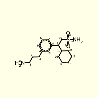 NCCCc1cccc(C(CS(N)(=O)=O)C2CCCCC2)c1